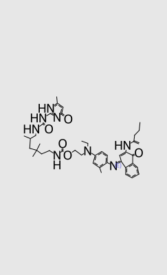 C=C(CCC)NC1=C/C(=N\c2ccc(N(CC)CCOC(=O)NCCC(C)(C)CC(C)CNC(=O)Nc3nc(=O)cc(C)[nH]3)cc2C)c2ccccc2C1=O